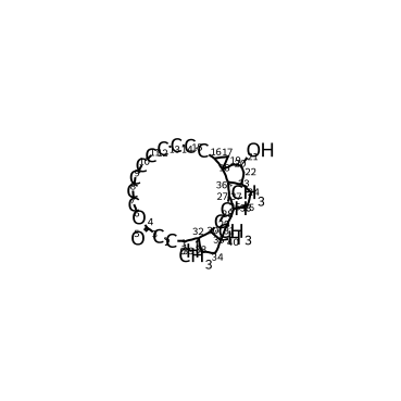 C[C@@H]1CCC(=O)OCCCCCCCCCC2CC23C[C@@H](O)CC2CC[C@@H]4C(CC[C@]5(C)[C@@H]1CC[C@@H]45)[C@]23C